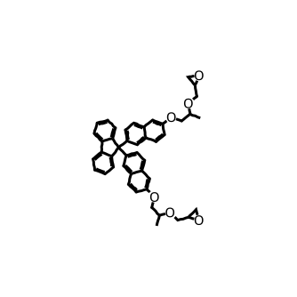 CC(COc1ccc2cc(C3(c4ccc5cc(OCC(C)OCC6CO6)ccc5c4)c4ccccc4-c4ccccc43)ccc2c1)OCC1CO1